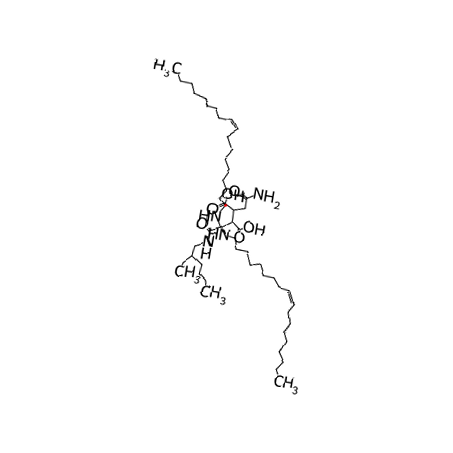 CCCCCCCC/C=C\CCCCCCCCNC(NCCCCCCCC/C=C\CCCCCCCC)(C(=O)NCC(CC)CCCC)C(C(=O)O)C(CC(N)=O)C(=O)O